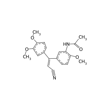 COc1ccc(/C(=C\C#N)c2ccc(OC)c(OC)c2)cc1NC(C)=O